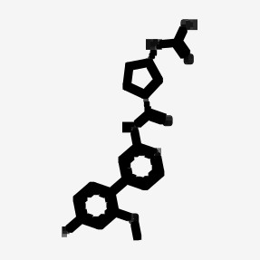 COc1cc(F)ccc1-c1ccnc(NC(=O)[C@@H]2CC[C@H](NC(=O)O)C2)c1